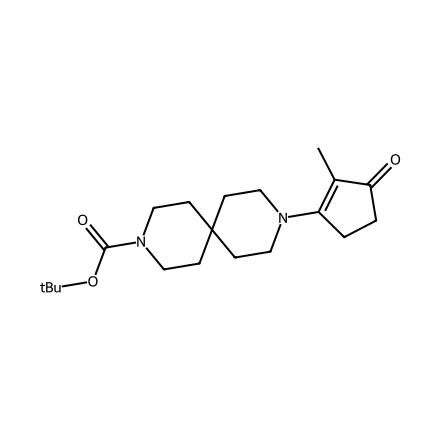 CC1=C(N2CCC3(CCN(C(=O)OC(C)(C)C)CC3)CC2)CCC1=O